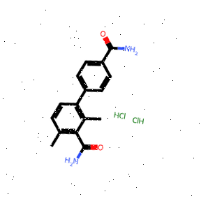 Cc1ccc(-c2ccc(C(N)=O)cc2)c(C)c1C(N)=O.Cl.Cl